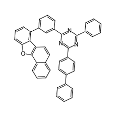 c1ccc(-c2ccc(-c3nc(-c4ccccc4)nc(-c4cccc(-c5cccc6oc7c8ccccc8ccc7c56)c4)n3)cc2)cc1